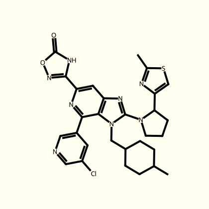 Cc1nc(C2CCCN2c2nc3cc(-c4noc(=O)[nH]4)nc(-c4cncc(Cl)c4)c3n2CC2CCC(C)CC2)cs1